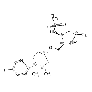 C[C@@H]1C[C@H](NS(C)(=O)=O)[C@H](CO[C@H]2CC[C@](C)(c3ncc(F)cn3)[C@@H](C)C2)N1